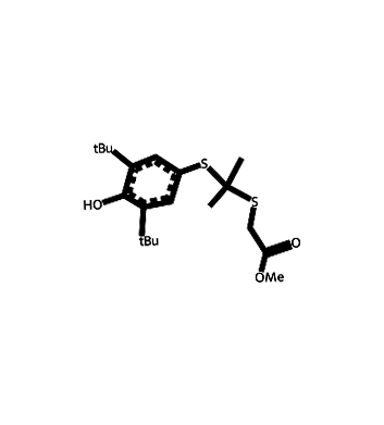 COC(=O)CSC(C)(C)Sc1cc(C(C)(C)C)c(O)c(C(C)(C)C)c1